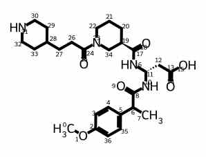 COc1ccc(C(C)C(=O)N[C@@H](CC(=O)O)NC(=O)[C@@H]2CCCN(C(=O)CCC3CCNCC3)C2)cc1